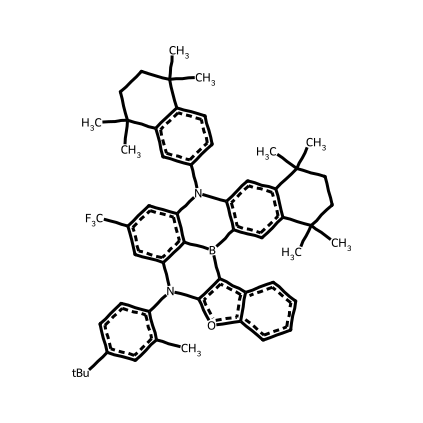 Cc1cc(C(C)(C)C)ccc1N1c2cc(C(F)(F)F)cc3c2B(c2cc4c(cc2N3c2ccc3c(c2)C(C)(C)CCC3(C)C)C(C)(C)CCC4(C)C)c2c1oc1ccccc21